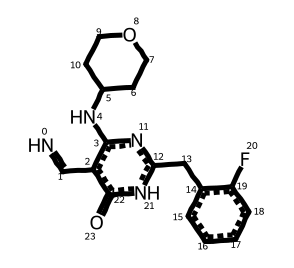 N=Cc1c(NC2CCOCC2)nc(Cc2ccccc2F)[nH]c1=O